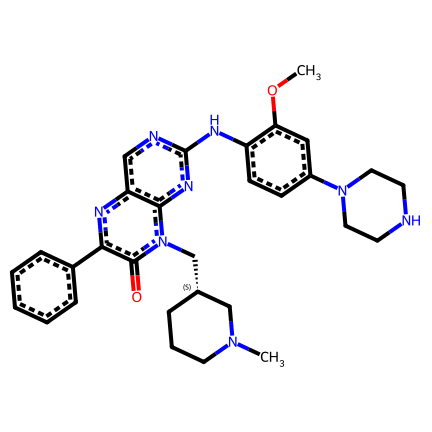 COc1cc(N2CCNCC2)ccc1Nc1ncc2nc(-c3ccccc3)c(=O)n(C[C@H]3CCCN(C)C3)c2n1